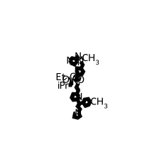 CCOC[C@H](CC(C)C)N(C/C=C/c1cccc(/C(=C/CN2CCCC2)c2ccc(C)cc2)n1)S(=O)(=O)c1ccc(Cn2c(C)nc3cnccc32)cc1